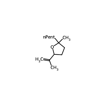 C=C(C)C1CCC(C)(CCCCC)O1